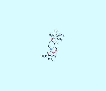 CC(C)(C)OC(=O)N1CCC(O[Si](C)(C)C(C)(C)C)CC1C=O